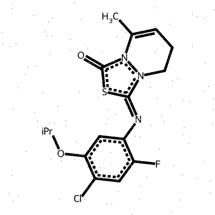 CC1=CCCn2c(=Nc3cc(OC(C)C)c(Cl)cc3F)sc(=O)n21